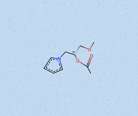 COC[C@@H](Cn1cccc1)OC(C)=O